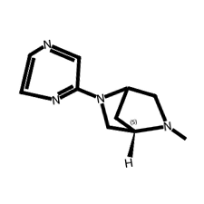 CN1CC2C[C@H]1CN2c1cnccn1